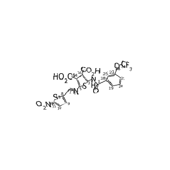 O=C(Nc1sc(N=Cc2ccc([N+](=O)[O-])s2)c(C(=O)O)c1C(=O)O)c1cccc(OC(F)(F)F)c1